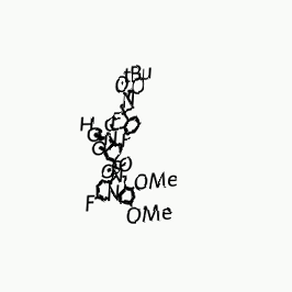 COc1ccc(CN(c2ccc(F)cn2)S(=O)(=O)c2cc(F)c3c(c2)oc(=O)n3C(C)c2ccccc2C2(F)CN(C(=O)OC(C)(C)C)C2)c(OC)c1